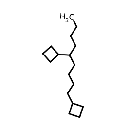 CCCC[C](CCCCC1CCC1)C1CCC1